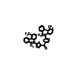 Cc1ccccc1-c1c(Nc2ncc(C(=O)c3cnc(Nc4cccc(C(F)(F)F)c4-c4ccccc4C)s3)s2)cccc1C(F)(F)F